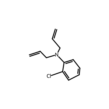 C=CCN(CC=C)c1ccccc1Cl